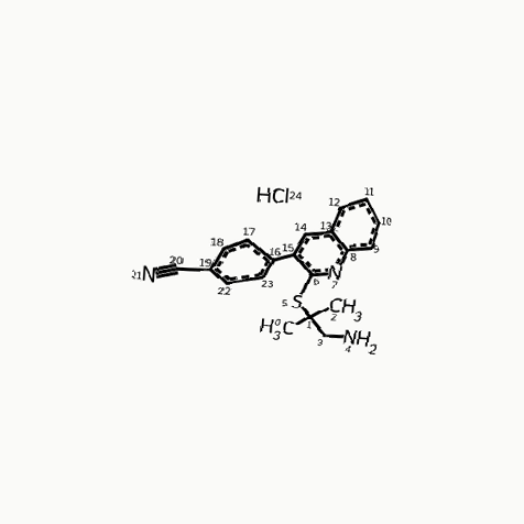 CC(C)(CN)Sc1nc2ccccc2cc1-c1ccc(C#N)cc1.Cl